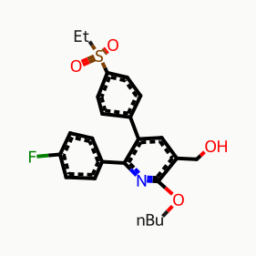 CCCCOc1nc(-c2ccc(F)cc2)c(-c2ccc(S(=O)(=O)CC)cc2)cc1CO